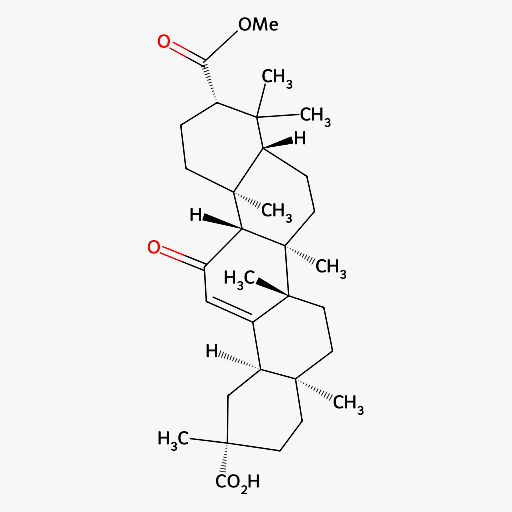 COC(=O)[C@H]1CC[C@]2(C)[C@H]3C(=O)C=C4[C@@H]5C[C@@](C)(C(=O)O)CC[C@]5(C)CC[C@@]4(C)[C@]3(C)CC[C@H]2C1(C)C